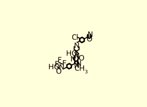 Cn1nc2c(=O)n(CC3(O)CCN(Cc4ccc(-c5cnco5)cc4Cl)CC3)cnc2c1-c1ccc(CN(C(=O)O)C(F)C(F)F)cc1